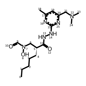 CCCCC[C@H](CN(O)C=O)C(=O)NNc1nc(C)cc(CN(C)C)n1